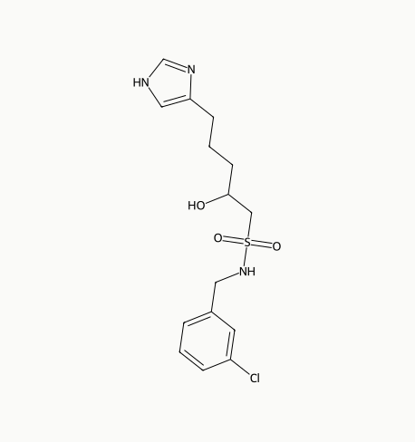 O=S(=O)(CC(O)CCCc1c[nH]cn1)NCc1cccc(Cl)c1